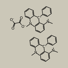 CN(C)c1ccccc1[C+](c1ccccc1)c1ccccc1N(C)C.CN(C)c1ccccc1[C+](c1ccccc1)c1ccccc1N(C)C.O=C([O-])C(=O)[O-]